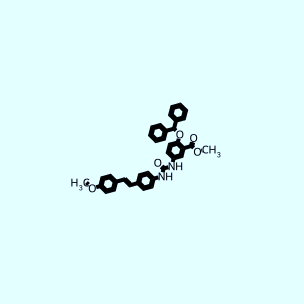 COC(=O)c1cc(NC(=O)Nc2ccc(C=Cc3ccc(OC)cc3)cc2)ccc1OC(c1ccccc1)c1ccccc1